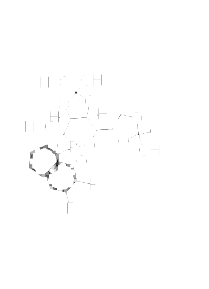 CC1(C)OC[C@H]([C@H]2OP(=O)(c3ccccc3)[C@@](C)(Oc3ccc(F)c(F)c3)[C@H]3OC(C)(C)O[C@@H]23)O1